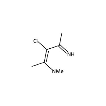 CN/C(C)=C(/Cl)C(C)=N